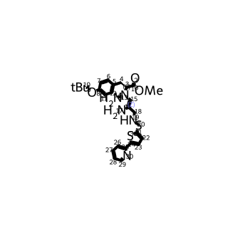 COC(=O)[C@H](Cc1ccc(OC(C)(C)C)cc1)N(N)/C=C(\N)CNSc1ccc(-c2ccccn2)s1